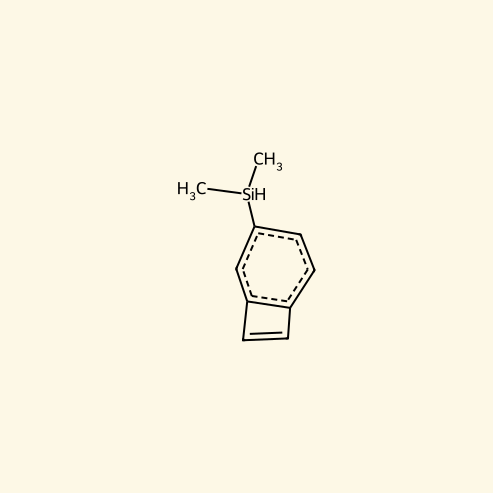 C[SiH](C)c1ccc2c(c1)C=C2